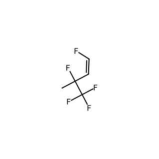 CC(F)(/C=C\F)C(F)(F)F